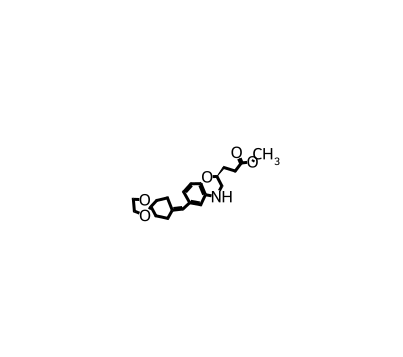 COC(=O)CC[C@H]1CNc2cc(C=C3CCC4(CC3)OCCO4)ccc2O1